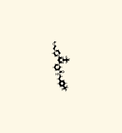 COCCN1CCN(c2cc(N3CCC[C@@H](C(=O)NCCc4ccc(C(F)(F)F)cc4)C3)nc(C(F)(F)F)n2)CC1